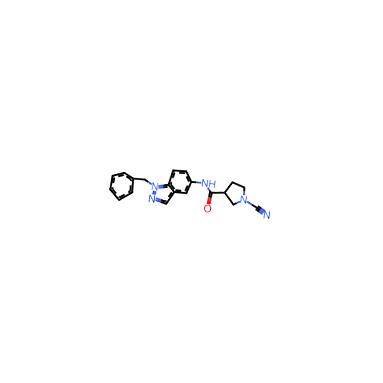 N#CN1CCC(C(=O)Nc2ccc3c(cnn3Cc3ccccc3)c2)C1